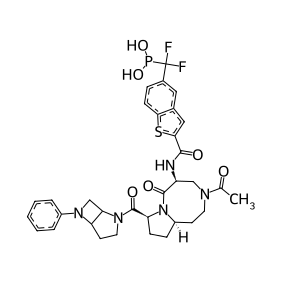 CC(=O)N1CC[C@H]2CC[C@@H](C(=O)N3CCC4C3CN4c3ccccc3)N2C(=O)[C@@H](NC(=O)c2cc3cc(C(F)(F)P(O)O)ccc3s2)C1